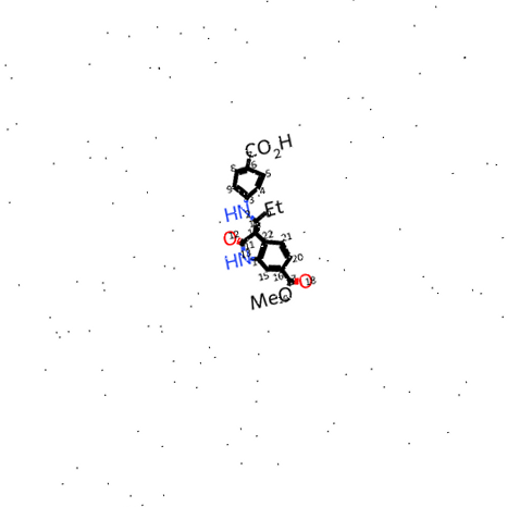 CC/C(Nc1ccc(C(=O)O)cc1)=C1/C(=O)Nc2cc(C(=O)OC)ccc21